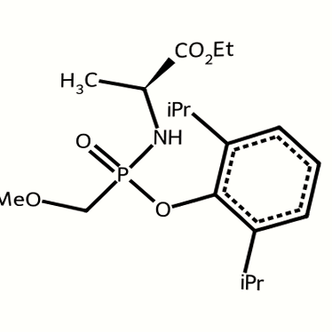 CCOC(=O)[C@H](C)NP(=O)(COC)Oc1c(C(C)C)cccc1C(C)C